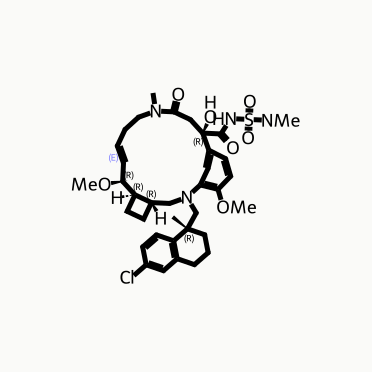 CNS(=O)(=O)NC(=O)[C@@]1(O)CC(=O)N(C)CC/C=C/[C@H](OC)[C@@H]2CC[C@H]2CN(C[C@]2(C)CCCc3cc(Cl)ccc32)c2cc1ccc2OC